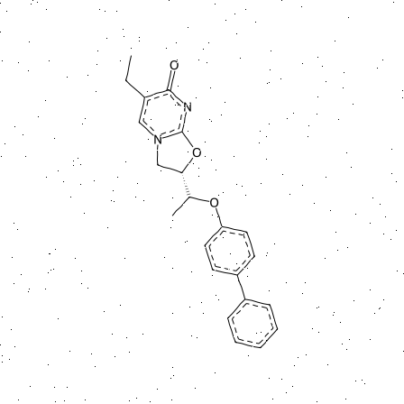 CCc1cn2c(nc1=O)O[C@H](C(C)Oc1ccc(-c3ccccc3)cc1)C2